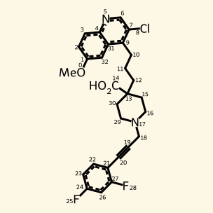 COc1ccc2ncc(Cl)c(CCCC3(C(=O)O)CCN(CC#Cc4ccc(F)cc4F)CC3)c2c1